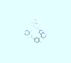 CS(=O)(=O)N1CCC(c2cc3c(-c4cc(NCc5ccncc5)ccc4F)ccnc3[nH]2)CC1